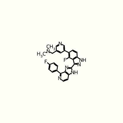 CN(C)Cc1cncc(-c2ccc3[nH]nc(-c4nc5c(-c6ccc(F)cc6)nccc5[nH]4)c3c2F)c1